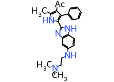 CC(=O)c1c(C)[nH]c(-c2nc3cc(NCCN(C)C)ccc3[nH]2)c1-c1ccccc1